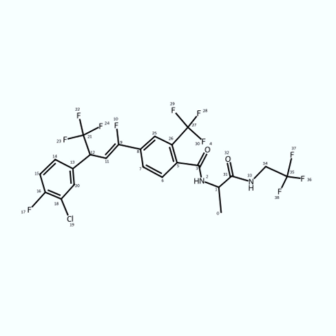 CC(NC(=O)c1ccc(/C(F)=C/C(c2ccc(F)c(Cl)c2)C(F)(F)F)cc1C(F)(F)F)C(=O)NCC(F)(F)F